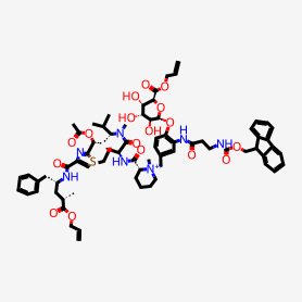 C=CCOC(=O)[C@H]1O[C@@H](Oc2ccc(C[N+]3(C)CCCC[C@@H]3C(=O)N[C@H](C(=O)N(C)[C@H](C[C@@H](OC(C)=O)c3nc(C(=O)N[C@@H](Cc4ccccc4)C[C@H](C)C(=O)OCC=C)cs3)C(C)C)[C@@H](C)CC)cc2NC(=O)CCNC(=O)OCC2c3ccccc3-c3ccccc32)[C@@H](O)[C@H](O)[C@@H]1O